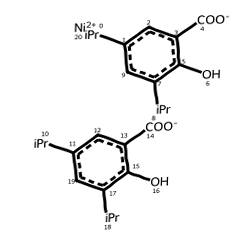 CC(C)c1cc(C(=O)[O-])c(O)c(C(C)C)c1.CC(C)c1cc(C(=O)[O-])c(O)c(C(C)C)c1.[Ni+2]